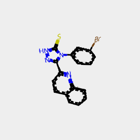 S=c1[nH]nc(-c2ccc3ccccc3n2)n1-c1cccc(Br)c1